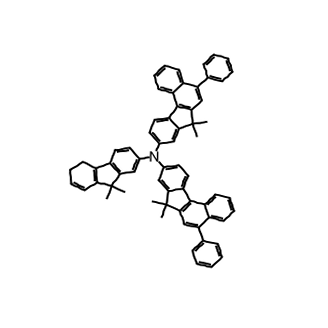 CC1(C)C2=C(CCC=C2)c2ccc(N(c3ccc4c(c3)C(C)(C)c3cc(-c5ccccc5)c5ccccc5c3-4)c3ccc4c(c3)C(C)(C)c3cc(-c5ccccc5)c5ccccc5c3-4)cc21